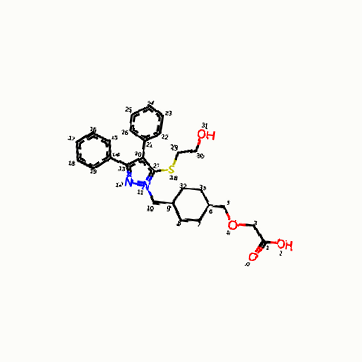 O=C(O)COC[C@H]1CC[C@@H](Cn2nc(-c3ccccc3)c(-c3ccccc3)c2SCCO)CC1